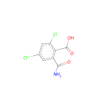 NC(=O)c1cc(Cl)cc(Cl)c1C(=O)O